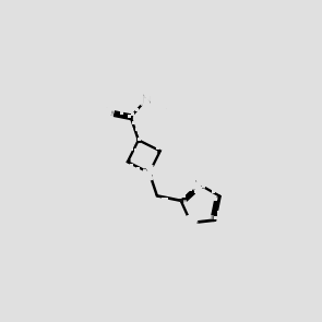 NC(=O)C1CN(Cc2ncco2)C1